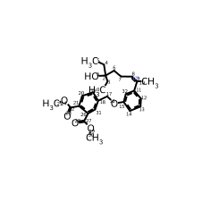 CCC(O)(CC)CC/C=C(/C)c1cccc(OCc2ccc(C(=O)OC)c(C(=O)OC)c2)c1